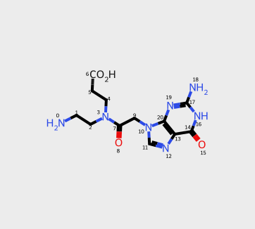 NCCN(CCC(=O)O)C(=O)Cn1cnc2c(=O)[nH]c(N)nc21